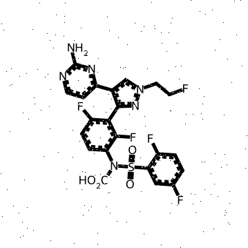 Nc1nccc(-c2cn(CCF)nc2-c2c(F)ccc(N(C(=O)O)S(=O)(=O)c3cc(F)ccc3F)c2F)n1